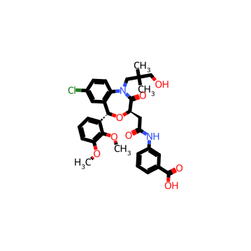 COc1cccc([C@H]2O[C@H](CC(=O)Nc3cccc(C(=O)O)c3)C(=O)N(CC(C)(C)CO)c3ccc(Cl)cc32)c1OC